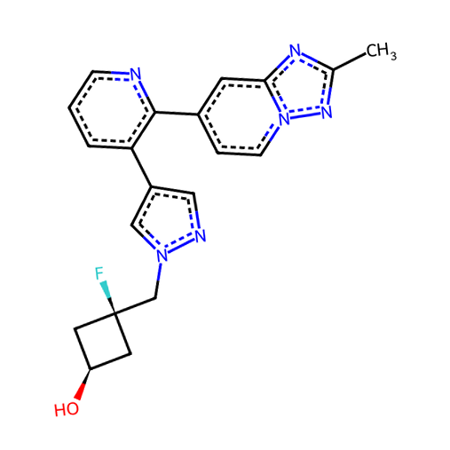 Cc1nc2cc(-c3ncccc3-c3cnn(C[C@]4(F)C[C@@H](O)C4)c3)ccn2n1